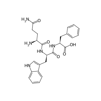 NC(=O)CC[C@H](N)C(=O)N[C@H](Cc1c[nH]c2ccccc12)C(=O)N[C@@H](Cc1ccccc1)C(=O)O